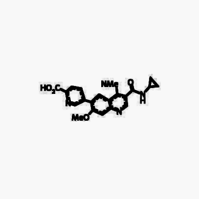 CNc1c(C(=O)NC2CC2)cnc2cc(OC)c(-c3ccc(C(=O)O)nc3)cc12